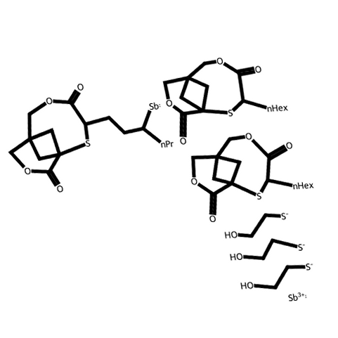 CCCCCCC1SC23CC(COC1=O)(COC2=O)C3.CCCCCCC1SC23CC(COC1=O)(COC2=O)C3.CCC[CH]([Sb])CCC1SC23CC(COC1=O)(COC2=O)C3.OCC[S-].OCC[S-].OCC[S-].[Sb+3]